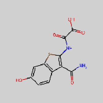 NC(=O)c1c(NC(=O)C(=O)O)sc2cc(O)ccc12